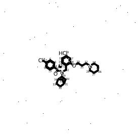 Cl.O=S(=O)(c1ccc(Cl)cc1)N(Cc1ccccc1OCCCN1CCCCC1)[C@H]1CC2CCC1C2